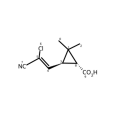 CC1(C)[C@H](C=C(Cl)C#N)[C@H]1C(=O)O